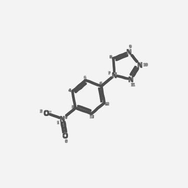 O=[N+]([O-])c1ccc(-n2[c]nnn2)cc1